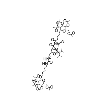 CC(=O)N[C@H]1[C@H](OCCCCCNC(=O)NOCC(COC(=O)NC(=O)CCCC[C@H]2O[C@H](COC(C)=O)[C@H](OC(C)=O)[C@H](OC(C)=O)[C@@H]2NC(C)=O)OP(OCCC#N)N(C(C)C)C(C)C)O[C@H](COC(C)=O)[C@H](OC(C)=O)[C@@H]1OC(C)=O